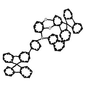 c1ccc2c(c1)-c1ccccc1C21c2ccccc2-c2cc(-c3ccc(N(c4ccc5ccccc5c4)c4cccc5c4Oc4c(ccc6c4-c4ccccc4C64c6ccccc6-c6ccccc64)O5)cc3)ccc21